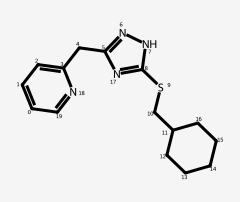 c1ccc(Cc2n[nH]c(SCC3CCCCC3)n2)nc1